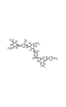 C/C=C1\C(=O)/C(=C/Nc2ccc(N/C=C3\C(=O)/C(=C/C)C(=O)/C(=C/Nc4cc(Cl)c(N/C=C5/C(=O)/C(=C\Nc6ccc(C)cc6)C(=O)/C(=C\C)C5=O)cc4Cl)C3=O)c(C)c2)C(=O)/C(=C/N)C1=O